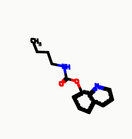 CCCCNC(=O)Oc1cccc2cccnc12